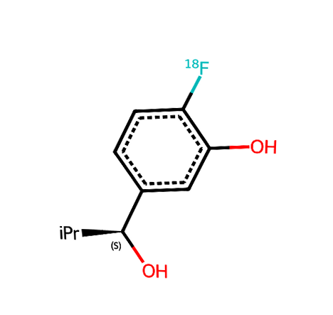 CC(C)[C@H](O)c1ccc([18F])c(O)c1